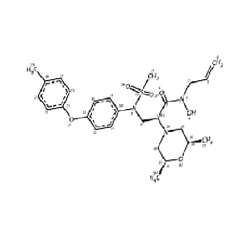 C=CCN(O)C(=O)[C@H](CN(c1ccc(Oc2ccc(C)cc2)cc1)S(C)(=O)=O)N1C[C@@H](C)O[C@@H](C)C1